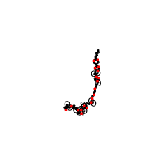 C=C(C)C(=O)OCC(C)(C)COC(=O)C(C)C[Si](C)(C)O[Si](C)(C)O[Si](C)(C)CCC(=O)OCCCCCCCCOc1ccc(C(=O)OC2CCC(C3CCC(CCCCC)CC3)CC2)cc1